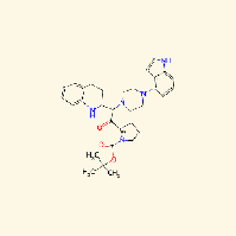 CC(C)(C)OC(=O)N1CCC[C@@H]1C(=O)C(C1CCc2ccccc2N1)N1CCN(c2cccc3[nH]ccc23)CC1